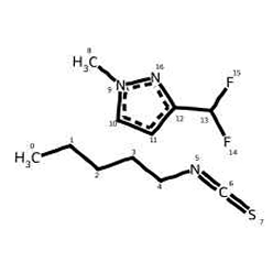 CCCCCN=C=S.Cn1ccc(C(F)F)n1